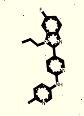 CCCn1c(-c2ccc(Nc3ccc(C)nc3)nc2)nc2ccc(F)cc21